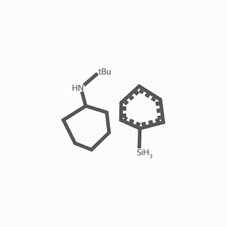 CC(C)(C)NC1CCCCC1.[SiH3]c1ccccc1